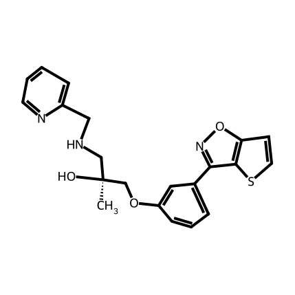 C[C@](O)(CNCc1ccccn1)COc1cccc(-c2noc3ccsc23)c1